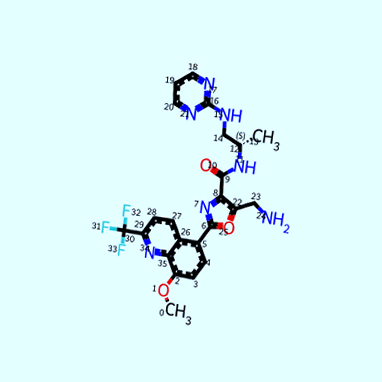 COc1ccc(-c2nc(C(=O)N[C@@H](C)CNc3ncccn3)c(CN)o2)c2ccc(C(F)(F)F)nc12